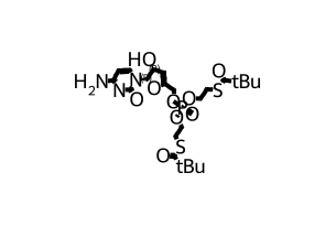 CC(C)(C)C(=O)SCCOP(=O)(OCCSC(=O)C(C)(C)C)OCC1=C[C@@H](O)[C@H](n2ccc(N)nc2=O)O1